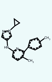 Cc1ccc(-c2nc(Nc3cnn(C4CC4)c3)ccc2C)cc1